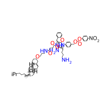 CC(C)CCC[C@@H](C)[C@H]1CC[C@H]2[C@@H]3CC=C4CC(OCCCNC(=O)CCC(=O)N[C@@H](Cc5ccccc5)C(=O)N(c5ccc(COC(=O)Oc6ccc([N+](=O)[O-])cc6)cc5)[C@@H](CCCCN)C(N)=O)CC[C@]4(C)[C@H]3CC[C@]12C